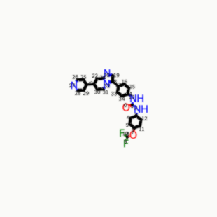 O=C(Nc1ccc(OC(F)F)cc1)Nc1ccc(-c2cnc3cc(-c4ccncc4)ccn23)cc1